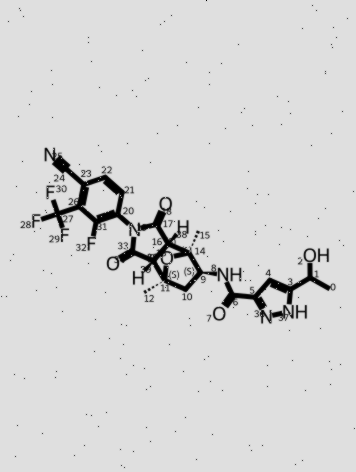 CC(O)c1cc(C(=O)N[C@H]2C[C@]3(C)O[C@@]2(C)[C@H]2C(=O)N(c4ccc(C#N)c(C(F)(F)F)c4F)C(=O)[C@H]23)n[nH]1